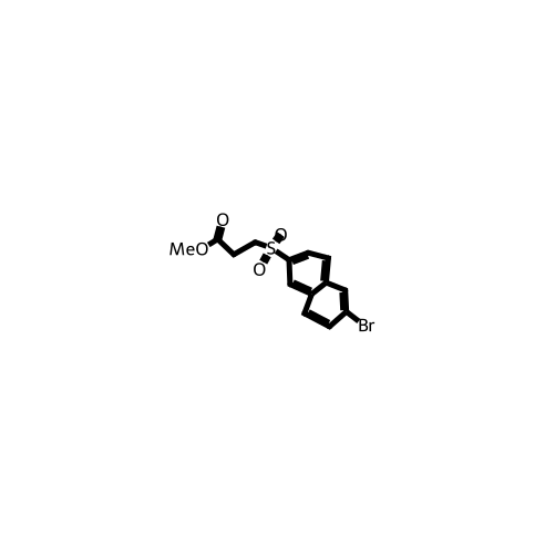 COC(=O)CCS(=O)(=O)c1ccc2cc(Br)ccc2c1